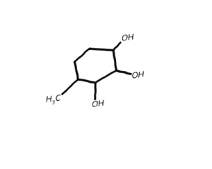 CC1CCC(O)C(O)C1O